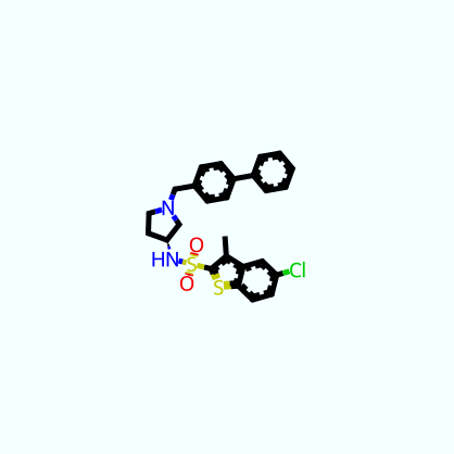 Cc1c(S(=O)(=O)N[C@@H]2CCN(Cc3ccc(-c4ccccc4)cc3)C2)sc2ccc(Cl)cc12